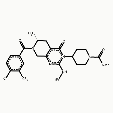 CNC(=O)N1CCC(n2c(NC(C)C)nc3c(c2=O)C[C@@H](C)N(C(=O)c2ccc(Cl)c(C(F)(F)F)c2)C3)CC1